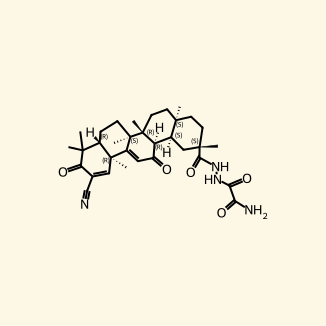 CC1(C)C(=O)C(C#N)=C[C@]2(C)C3=CC(=O)[C@@H]4[C@@H]5C[C@@](C)(C(=O)NNC(=O)C(N)=O)CC[C@]5(C)CC[C@@]4(C)[C@]3(C)CC[C@@H]12